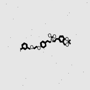 CC1(C)OCc2cc(C3CN(CCC4=CC=C(OCCOCc5cccc(I)c5)CC4)C(=O)O3)ccc2O1